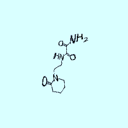 NC(=O)C(=O)NCCN1CCCCC1=O